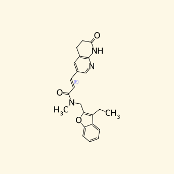 CCc1c(CN(C)C(=O)/C=C/c2cnc3c(c2)CCC(=O)N3)oc2ccccc12